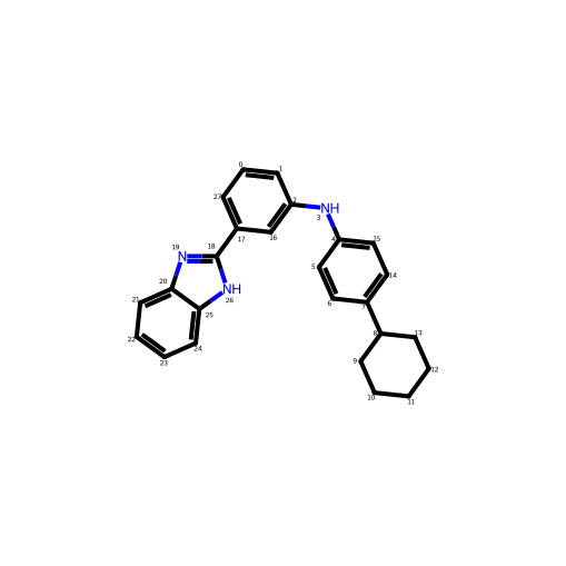 c1cc(Nc2ccc(C3CCCCC3)cc2)cc(-c2nc3ccccc3[nH]2)c1